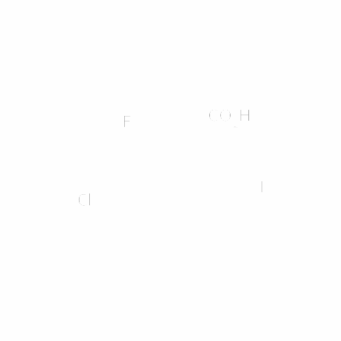 O=C(O)c1c(I)ccc(Cl)c1F